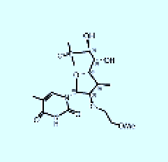 COCCO[C@@H]1[C@H](C)[C@@H]([C@@H](O)[C@H](O)P(C)(C)=O)O[C@H]1n1cc(C)c(=O)[nH]c1=O